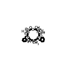 CC(C)[C@H]1C(=O)O[C@H](Cc2ccccc2)C(=O)N(C)[C@@H](C(C)C)C(=O)O[C@H](Cc2ccccc2)C(=O)N(C)[C@@H](C(C)C)C(=O)O[C@H](C)C(=O)N1C